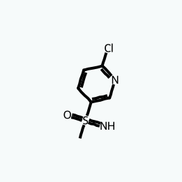 CS(=N)(=O)c1ccc(Cl)nc1